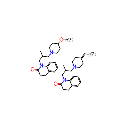 CCCC=C1CCN(CC(C)CN2C(=O)CCc3ccccc32)CC1.CCCOC1CCN(CC(C)CN2C(=O)CCc3ccccc32)CC1